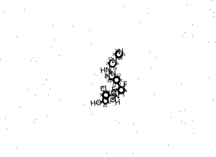 O=S(=O)(Nc1ccc(F)c(-c2ccc3nc(NC4CCN(c5ccncc5)CC4)ncc3c2)c1F)c1cc(Cl)cc2c1CCC2O